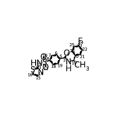 C[C@@H](NC(=O)c1ccc(S(=O)(=O)Nc2nccs2)cc1)c1ccc(F)cc1